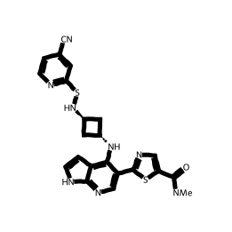 CNC(=O)c1cnc(-c2cnc3[nH]ccc3c2N[C@H]2C[C@H](NSc3cc(C#N)ccn3)C2)s1